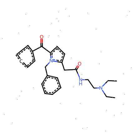 CCN(CC)CCNC(=O)Cc1ccc(C(=O)c2ccccc2)n1Cc1ccccc1